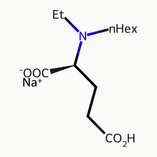 CCCCCCN(CC)[C@@H](CCC(=O)O)C(=O)[O-].[Na+]